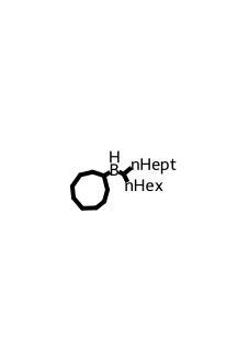 CCCCCCCC(BC1CCCCCCCC1)CCCCCC